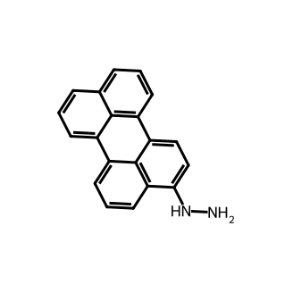 NNc1ccc2c3cccc4cccc(c5cccc1c52)c43